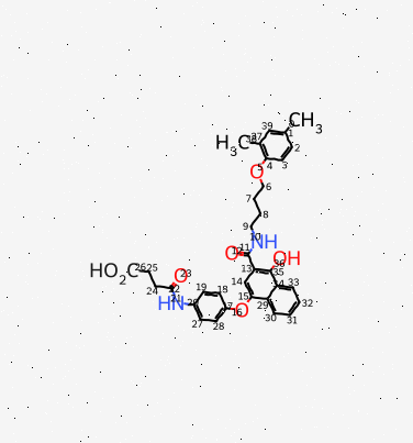 Cc1ccc(OCCCCNC(=O)c2cc(Oc3ccc(NC(=O)CCC(=O)O)cc3)c3ccccc3c2O)c(C)c1